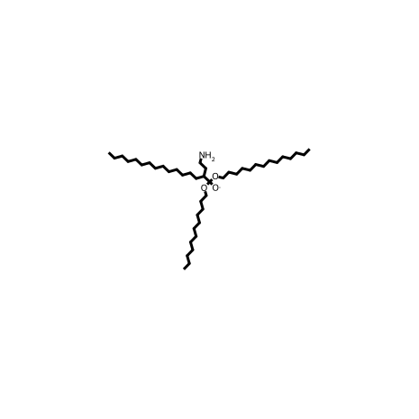 CCCCCCCCCCCCCCOC([O])(OCCCCCCCCCCCC)C(CCN)CCCCCCCCCCCCCC